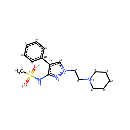 CS(=O)(=O)Nc1nn(CCN2CCCCC2)cc1-c1ccccc1